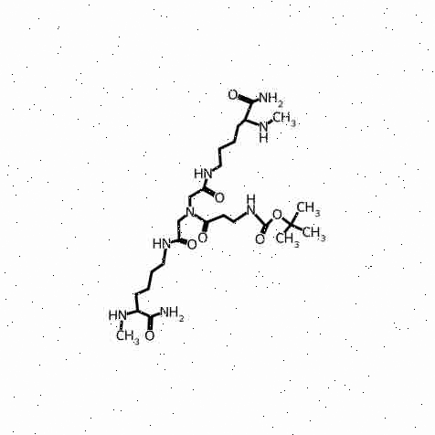 CNC(CCCCNC(=O)CN(CC(=O)NCCCCC(NC)C(N)=O)C(=O)CCNC(=O)OC(C)(C)C)C(N)=O